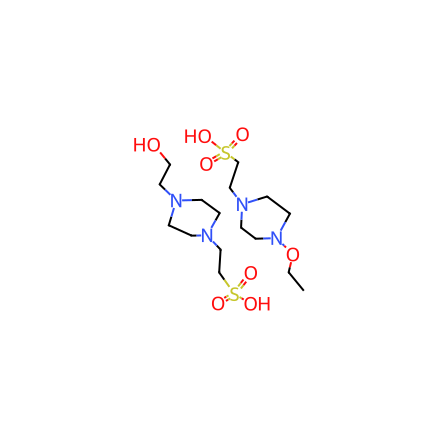 CCON1CCN(CCS(=O)(=O)O)CC1.O=S(=O)(O)CCN1CCN(CCO)CC1